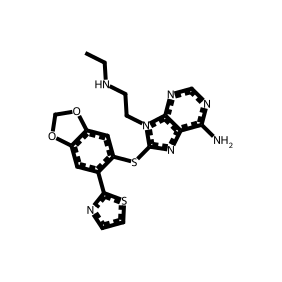 CCNCCn1c(Sc2cc3c(cc2-c2nccs2)OCO3)nc2c(N)ncnc21